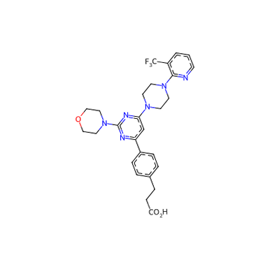 O=C(O)CCc1ccc(-c2cc(N3CCN(c4ncccc4C(F)(F)F)CC3)nc(N3CCOCC3)n2)cc1